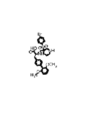 COc1cccc(OC)c1-c1ccc(C[C@H](NCC2(S(=O)(=O)c3ccc(Br)cc3)CCCNC2)C(=O)O)cc1